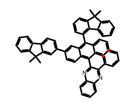 CC1(C)c2ccccc2-c2ccc(-c3ccc4c(-c5nc6ccccc6nc5-c5ccccc5)c5ccccc5c(-c5cccc6c5-c5ccccc5C6(C)C)c4c3)cc21